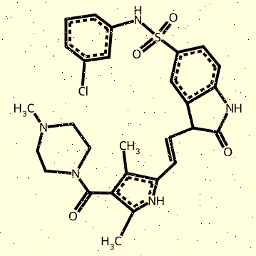 Cc1[nH]c(C=CC2C(=O)Nc3ccc(S(=O)(=O)Nc4cccc(Cl)c4)cc32)c(C)c1C(=O)N1CCN(C)CC1